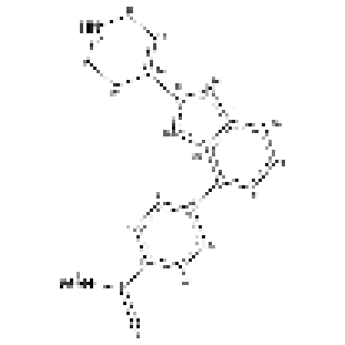 CNC(=O)c1ccc(-c2ccnc3[nH]c(C4=CCNCC4)cc23)cn1